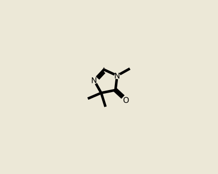 CN1[C]=NC(C)(C)C1=O